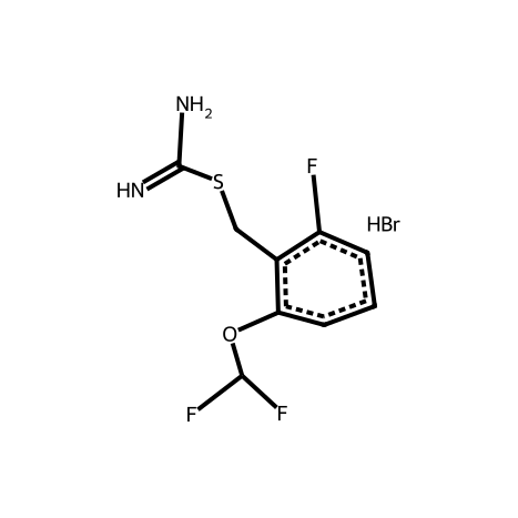 Br.N=C(N)SCc1c(F)cccc1OC(F)F